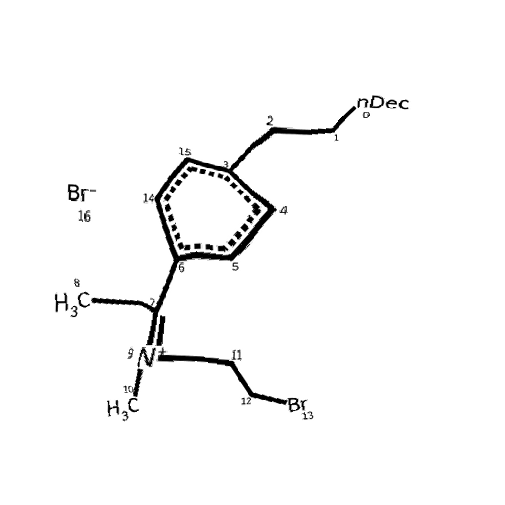 CCCCCCCCCCCCc1ccc(C(C)=[N+](C)CCBr)cc1.[Br-]